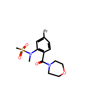 CC(C)c1ccc(C(=O)N2CCOCC2)c(N(C)S(C)(=O)=O)c1